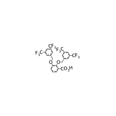 O=C(O)c1cccc(OCc2cc(C(F)(F)F)cc(C(F)(F)F)c2)c1OCc1cc(C(F)(F)F)cc(C(F)(F)F)c1